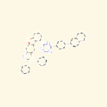 c1ccc(-c2nc(-c3ccc(-c4ccc5ccccc5c4)cc3)nc(-c3cccc4oc5cc6nc(-c7ccccc7)sc6cc5c34)n2)cc1